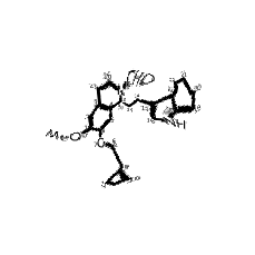 COc1cc2c(cc1OCC1CC1)[C@H](CCc1c[nH]c3ccccc13)N(C=O)CC2